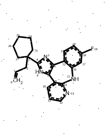 C=CCC1(c2nc3c([nH]2)-c2cccnc2Nc2cc(F)ccc2-3)CCCCC1